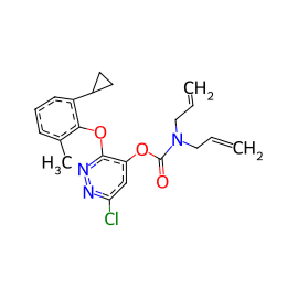 C=CCN(CC=C)C(=O)Oc1cc(Cl)nnc1Oc1c(C)cccc1C1CC1